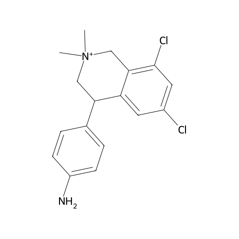 C[N+]1(C)Cc2c(Cl)cc(Cl)cc2C(c2ccc(N)cc2)C1